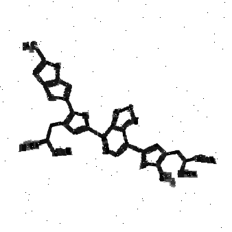 CCCCCCCCC(CCCCCC)Cc1cc(-c2cnc(-c3cc(CC(CCCCCC)CCCCCCCC)c(-c4cc5sc(C)cc5s4)s3)c3nsnc23)sc1C